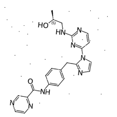 C[C@H](O)CNc1nccc(-n2ccnc2Cc2ccc(NC(=O)c3cnccn3)cc2)n1